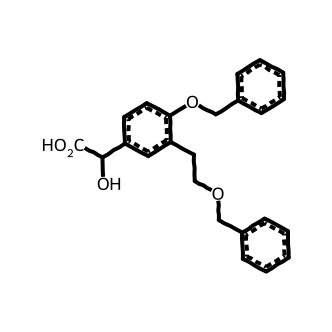 O=C(O)C(O)c1ccc(OCc2ccccc2)c(CCOCc2ccccc2)c1